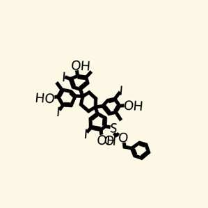 Cc1cc(C2(c3cc(C)c(O)c(I)c3)CCC(c3cc(C)c(O)c(I)c3)(c3cc(I)c(O)c(SC(=O)OCc4ccccc4)c3)CC2)cc(I)c1O